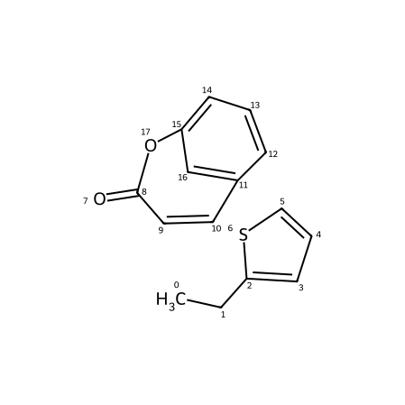 CCc1cccs1.O=C1C=Cc2cccc(c2)O1